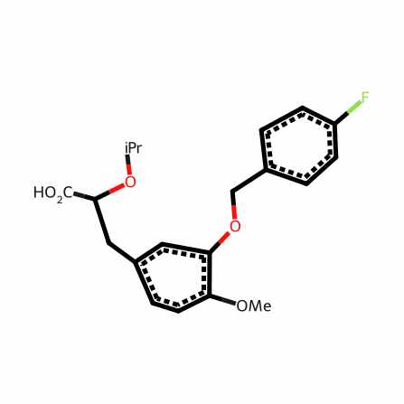 COc1ccc(CC(OC(C)C)C(=O)O)cc1OCc1ccc(F)cc1